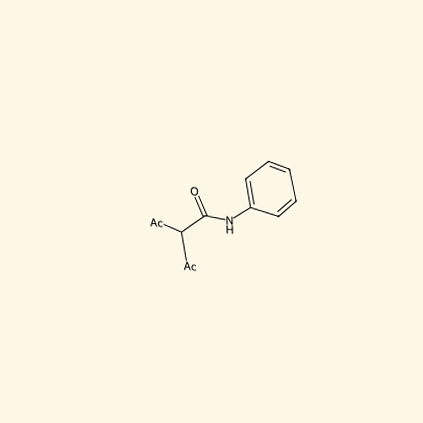 CC(=O)C(C(C)=O)C(=O)Nc1ccccc1